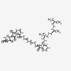 CC(C)=CCCC(C)=CCCC(C)=CCSc1ccccc1C(=O)NCCOCCOCCNc1cccc2c1C(=O)N(C1CCC(=O)NC1=O)C2=O